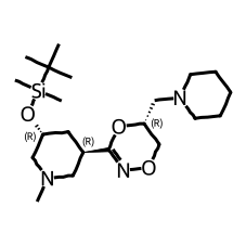 CN1C[C@H](O[Si](C)(C)C(C)(C)C)C[C@@H](C2=NOC[C@@H](CN3CCCCC3)O2)C1